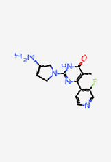 Cc1c(-c2ccncc2F)nc(N2CC[C@@H](N)C2)[nH]c1=O